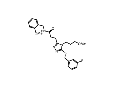 COCCCn1c(CCC(=O)NCc2ccccc2OC)nnc1SCc1cccc(F)c1